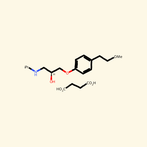 COCCc1ccc(OC[C@@H](O)CNC(C)C)cc1.O=C(O)CCC(=O)O